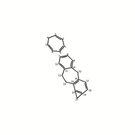 C1=CC=CCC=C1.c1ccc2c(c1)CCc1c(ccc3c1C3)C2